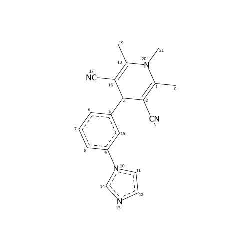 CC1=C(C#N)C(c2cccc(-n3ccnc3)c2)C(C#N)=C(C)N1C